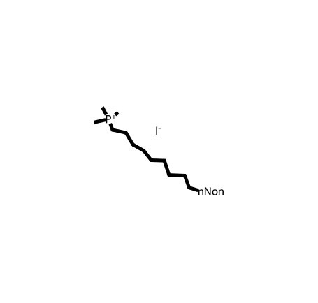 CCCCCCCCCCCCCCCCCC[P+](C)(C)C.[I-]